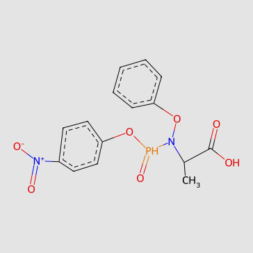 CC(C(=O)O)N(Oc1ccccc1)[PH](=O)Oc1ccc([N+](=O)[O-])cc1